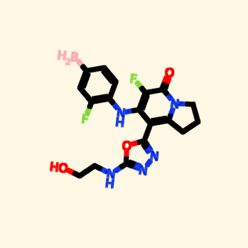 Bc1ccc(Nc2c(-c3nnc(NCCO)o3)c3n(c(=O)c2F)CCC3)c(F)c1